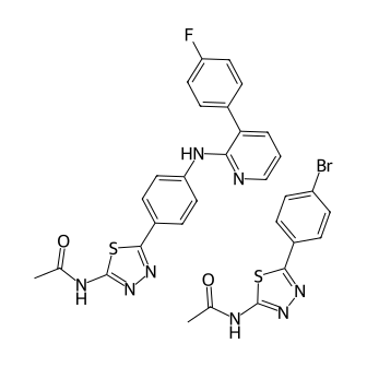 CC(=O)Nc1nnc(-c2ccc(Br)cc2)s1.CC(=O)Nc1nnc(-c2ccc(Nc3ncccc3-c3ccc(F)cc3)cc2)s1